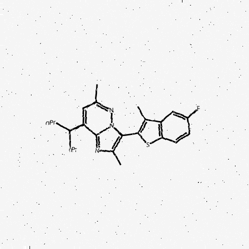 CCCC(CCC)c1cc(C)nn2c(-c3sc4ccc(F)cc4c3C)c(C)nc12